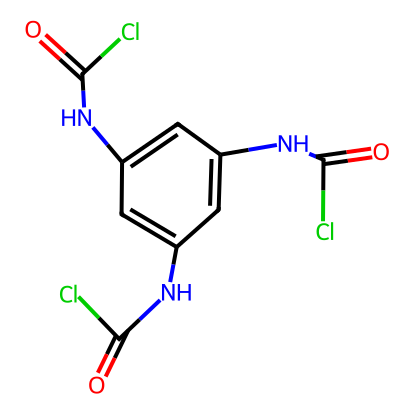 O=C(Cl)Nc1cc(NC(=O)Cl)cc(NC(=O)Cl)c1